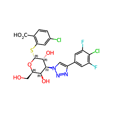 O=C(O)c1ccc(Cl)cc1S[C@H]1O[C@H](CO)[C@H](O)[C@H](n2cc(-c3cc(F)c(Cl)c(F)c3)nn2)[C@H]1O